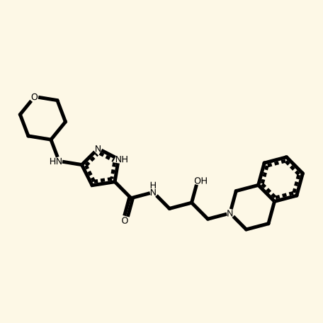 O=C(NCC(O)CN1CCc2ccccc2C1)c1cc(NC2CCOCC2)n[nH]1